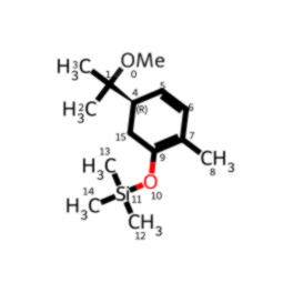 COC(C)(C)[C@H]1C=CC(C)=C(O[Si](C)(C)C)C1